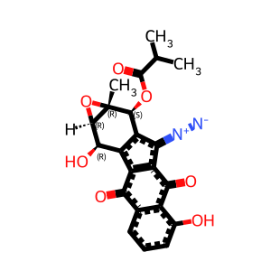 CC(C)C(=O)O[C@H]1c2c(c3c(=O)c4cccc(O)c4c(=O)c=3c2=[N+]=[N-])[C@@H](O)[C@H]2O[C@@]21C